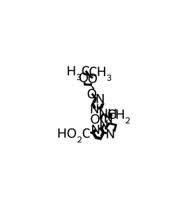 C=NC12CCN(C1)c1ccc(C(=O)O)nc1N2C(=O)Nc1cnc(OC[C@H]2COC(C)(C)O2)cn1